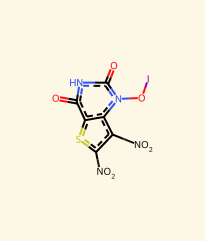 O=c1[nH]c(=O)n(OI)c2c([N+](=O)[O-])c([N+](=O)[O-])sc12